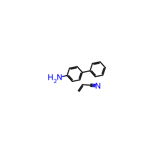 C=CC#N.Nc1ccc(-c2ccccc2)cc1